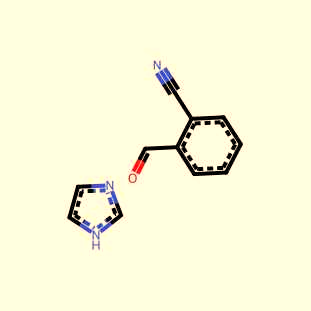 N#Cc1ccccc1C=O.c1c[nH]cn1